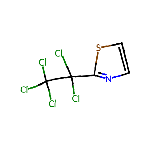 ClC(Cl)(Cl)C(Cl)(Cl)c1nccs1